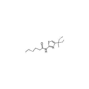 CCCCCC(=O)Nc1nc(C(C)(CC)CC)cs1